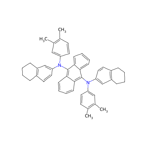 Cc1ccc(N(c2ccc3c(c2)CCCC3)c2c3ccccc3c(N(c3ccc(C)c(C)c3)c3ccc4c(c3)CCCC4)c3ccccc23)cc1C